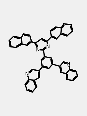 c1ccc2cc(-c3cc(-c4ccc5ccccc5c4)nc(-c4cc(-c5cnc6ccccc6c5)cc(-c5cnc6ccccc6c5)c4)n3)ccc2c1